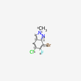 Cn1cc2cc(Cl)c(F)c(Br)c2n1